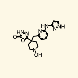 O=c1[nH]nc(C2(Cc3cccc(Nc4cc[nH]n4)n3)CCN(O)CC2)o1